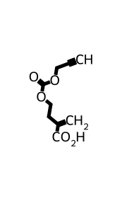 C#CCOC(=O)OCCC(=C)C(=O)O